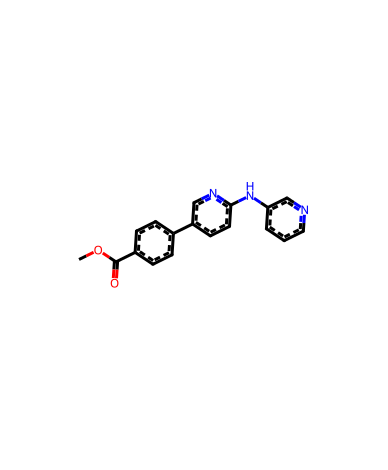 COC(=O)c1ccc(-c2ccc(Nc3cccnc3)nc2)cc1